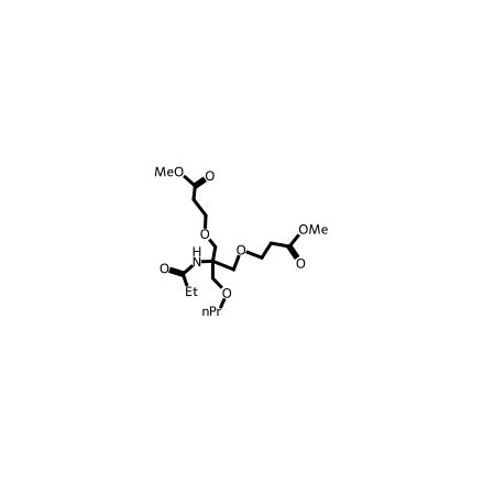 CCCOCC(COCCC(=O)OC)(COCCC(=O)OC)NC(=O)CC